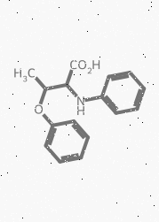 CC(Oc1ccccc1)C(Nc1ccccc1)C(=O)O